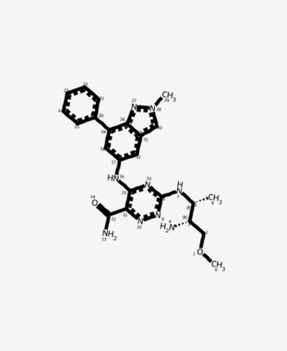 COC[C@H](N)[C@@H](C)Nc1nnc(C(N)=O)c(Nc2cc(-c3ccccc3)c3nn(C)cc3c2)n1